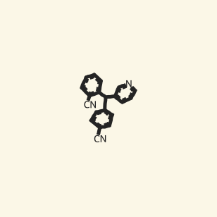 N#Cc1ccc(C(c2cccnc2)c2ccccc2C#N)cc1